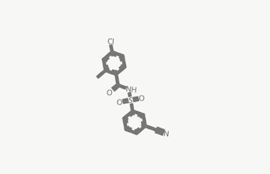 Cc1cc(Cl)ccc1C(=O)NS(=O)(=O)c1cccc(C#N)c1